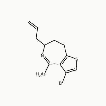 C=CCC1CCc2scc(Br)c2C([AsH2])=N1